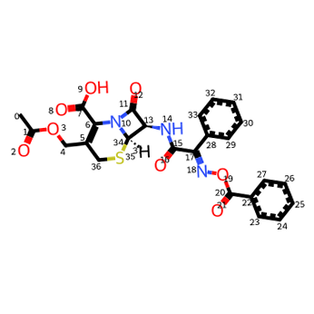 CC(=O)OCC1=C(C(=O)O)N2C(=O)[C@@H](NC(=O)/C(=N/OC(=O)c3ccccc3)c3ccccc3)[C@H]2SC1